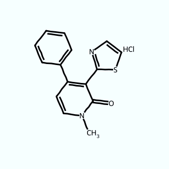 Cl.Cn1ccc(-c2ccccc2)c(-c2nccs2)c1=O